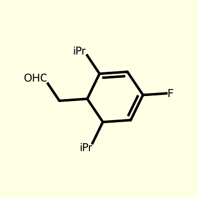 CC(C)C1=CC(F)=CC(C(C)C)C1CC=O